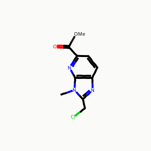 COC(=O)c1ccc2nc(CCl)n(C)c2n1